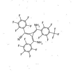 N#C/C(=C1\C(=C(N)c2c(F)c(F)c(F)c(F)c2F)\C1=C(\N)c1c(F)c(F)c(C(F)(F)F)c(F)c1F)c1c(F)c(F)c(F)c(F)c1F